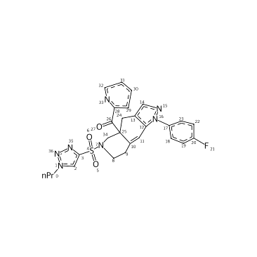 CCCn1cc(S(=O)(=O)N2CCC3=Cc4c(cnn4-c4ccc(F)cc4)CC3(C(=O)c3ccccn3)C2)nn1